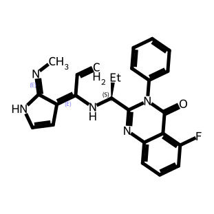 C=C/C(N[C@@H](CC)c1nc2cccc(F)c2c(=O)n1-c1ccccc1)=C1/C=CN/C1=N/C